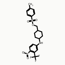 Cc1ccc(S(=O)(=O)OCC2CCC(Nc3ccc([N+](=O)[O-])c(C(F)(F)F)c3)CC2)cc1